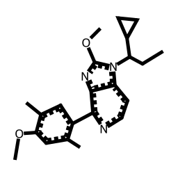 CCC(C1CC1)n1c(OC)nc2c(-c3cc(C)c(OC)cc3C)nccc21